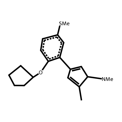 CNC1C=C(c2cc(SC)ccc2OC2CCCC2)C=C1C